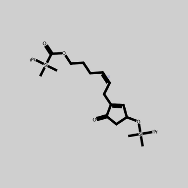 CC(C)[Si](C)(C)OC1C=C(C/C=C\CCCOC(=O)[Si](C)(C)C(C)C)C(=O)C1